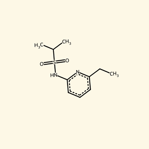 CCc1cccc(NS(=O)(=O)C(C)C)n1